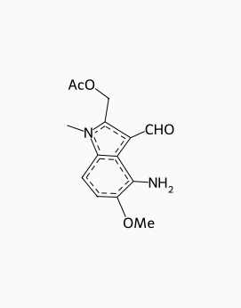 COc1ccc2c(c1N)c(C=O)c(COC(C)=O)n2C